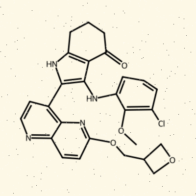 COc1c(Cl)cccc1Nc1c(-c2ccnc3ccc(OCC4COC4)nc23)[nH]c2c1C(=O)CCC2